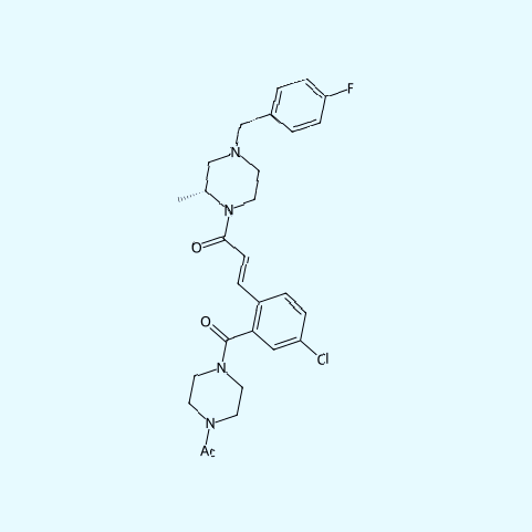 CC(=O)N1CCN(C(=O)c2cc(Cl)ccc2/C=C/C(=O)N2CCN(Cc3ccc(F)cc3)C[C@H]2C)CC1